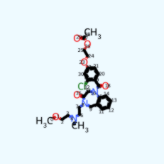 COCCN(C)CCN1Cc2ccccc2N(C(=O)c2ccc(OCCOC(C)=O)cc2Cl)CC1=O